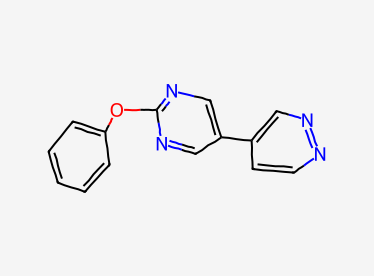 c1ccc(Oc2ncc(-c3ccnnc3)cn2)cc1